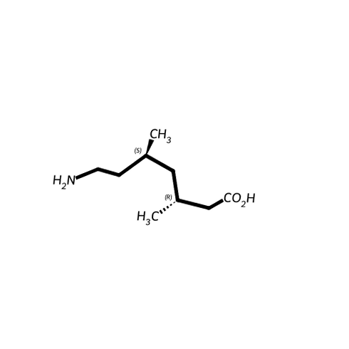 C[C@H](CCN)C[C@@H](C)CC(=O)O